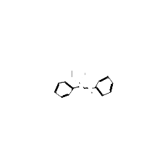 O.c1ccc(N=Nc2ccccc2)cc1